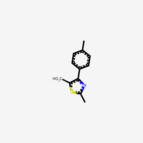 Cc1ccc(-c2nc(C)sc2C(=O)O)cc1